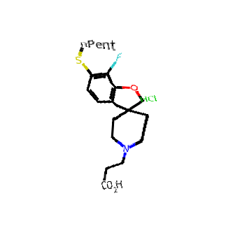 CCCCCSc1ccc2c(c1F)OCC21CCN(CCC(=O)O)CC1.Cl